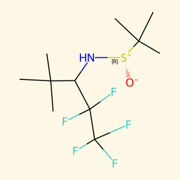 CC(C)(C)C(N[S@@+]([O-])C(C)(C)C)C(F)(F)C(F)(F)F